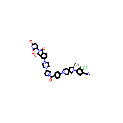 C[C@H]1CC2(CCN(c3ccc(C(=O)N4CC[C@H](N5CCN(c6ccc7c(c6)C(=O)N(C6CCC(=O)NC6=O)C7=O)CC5)C4)cc3)CC2)CN1c1ccc(C#N)c(Cl)c1